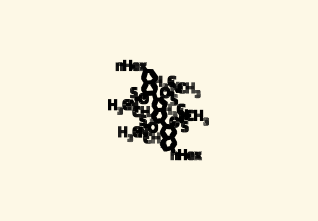 CCCCCCc1ccc2cc(-c3cc4cc(OC(=S)N(C)C)c(-c5cc6ccc(CCCCCC)cc6cc5OC(=S)N(C)C)cc4cc3OC(=S)N(C)C)c(OC(=S)N(C)C)cc2c1